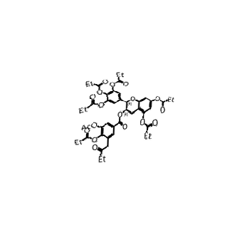 CCC(=O)Cc1cc(C(=O)O[C@@H]2Cc3c(OC(=O)CC)cc(OC(=O)CC)cc3O[C@@H]2c2cc(OC(=O)CC)c(OC(=O)CC)c(OC(=O)CC)c2)cc(OC(C)=O)c1OC(=O)CC